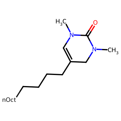 CCCCCCCCCCCCC1=CN(C)C(=O)N(C)C1